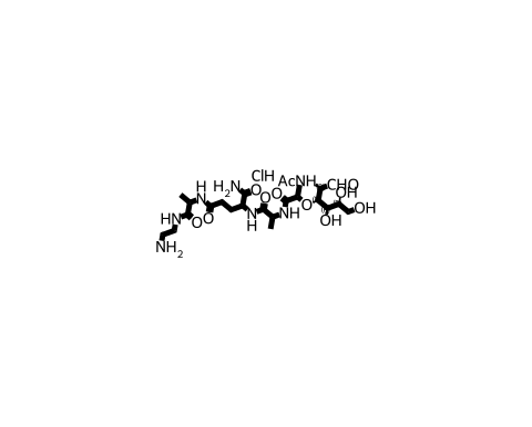 CC(=O)N[C@@H](C=O)[C@@H](OC(C)C(=O)NC(C)C(=O)NC(CCC(=O)NC(C)C(=O)NCCN)C(N)=O)[C@H](O)[C@H](O)CO.Cl